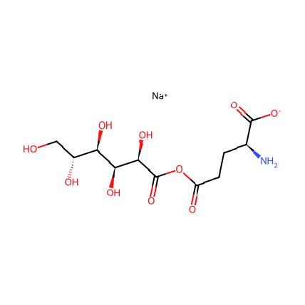 N[C@@H](CCC(=O)OC(=O)[C@H](O)[C@@H](O)[C@H](O)[C@H](O)CO)C(=O)[O-].[Na+]